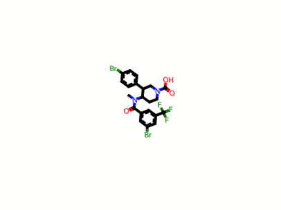 CN(C(=O)c1cc(Br)cc(C(F)(F)F)c1)C1CCN(C(=O)O)CC1c1ccc(Br)cc1